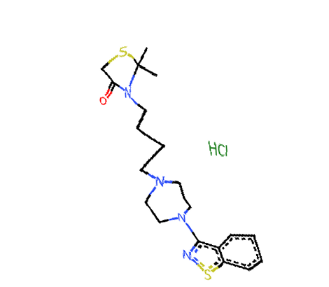 CC1(C)SCC(=O)N1CCCCN1CCN(c2nsc3ccccc23)CC1.Cl